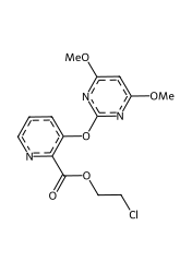 COc1cc(OC)nc(Oc2cccnc2C(=O)OCCCl)n1